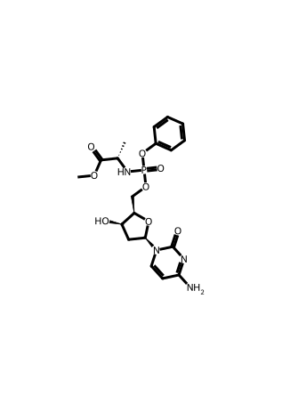 COC(=O)[C@H](C)NP(=O)(OC[C@H]1O[C@@H](n2ccc(N)nc2=O)C[C@H]1O)Oc1ccccc1